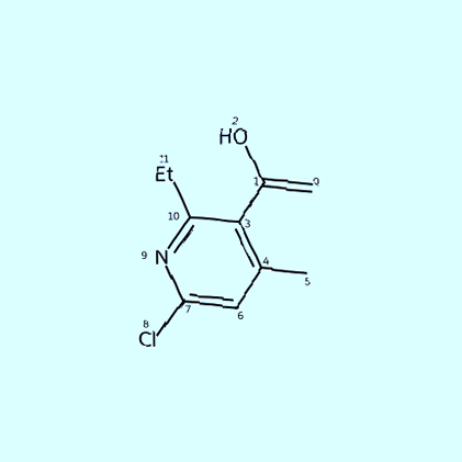 C=C(O)c1c(C)cc(Cl)nc1CC